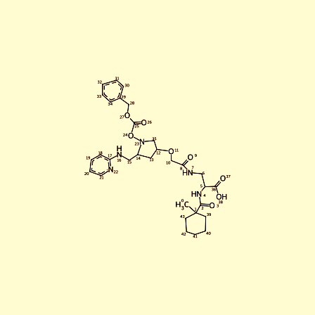 CC1(C(=O)NC(CNC(=O)COC2CC(CNc3ccccn3)N(OC(=O)OCc3ccccc3)C2)C(=O)O)CCCCC1